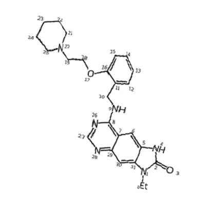 CCn1c(=O)[nH]c2cc3c(NCc4ccccc4OCCN4CCCCC4)ncnc3cc21